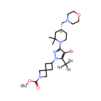 [2H]C([2H])([2H])c1c(Br)c(N2CC[C@@H](CN3CCOCC3)CC2(C)C)nn1C1CC2(C1)CN(C(=O)OC(C)(C)C)C2